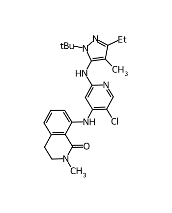 CCc1nn(C(C)(C)C)c(Nc2cc(Nc3cccc4c3C(=O)N(C)CC4)c(Cl)cn2)c1C